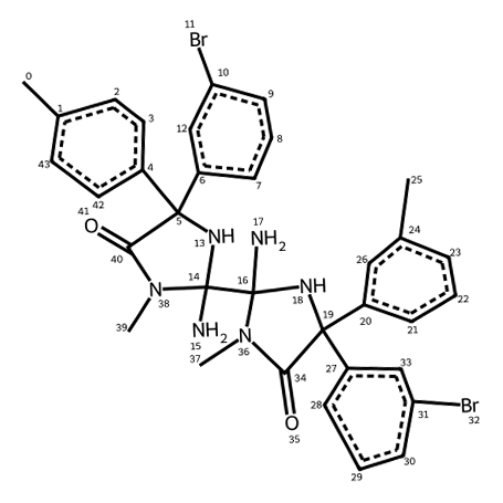 Cc1ccc(C2(c3cccc(Br)c3)NC(N)(C3(N)NC(c4cccc(C)c4)(c4cccc(Br)c4)C(=O)N3C)N(C)C2=O)cc1